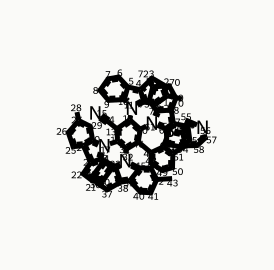 Cc1ccc2c3ccccc3n(-c3c(C#N)c(-n4c5ccccc5c5ccc(C)cc54)c(-n4c5ccccc5c5ccc(C)cc54)c(-c4cccc5c4sc4cnccc45)c3-n3c4ccccc4c4ccc(C)cc43)c2c1